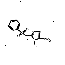 CCn1c([N+](=O)[O-])cnc1CS(=O)(=O)c1ccccn1